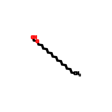 CCCCCCCCCCCCCCCCOCO